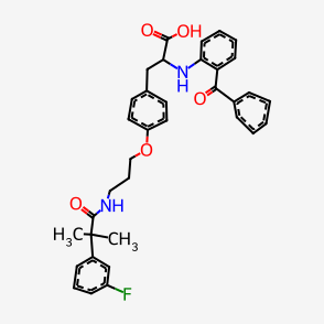 CC(C)(C(=O)NCCCOc1ccc(CC(Nc2ccccc2C(=O)c2ccccc2)C(=O)O)cc1)c1cccc(F)c1